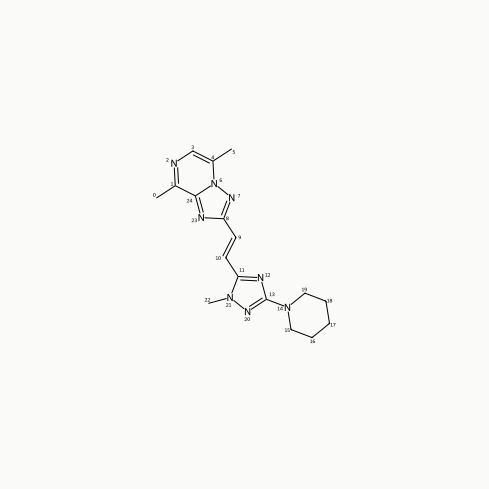 Cc1ncc(C)n2nc(C=Cc3nc(N4CCCCC4)nn3C)nc12